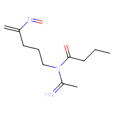 C=C(CCCN(C(C)=N)C(=O)CCC)N=O